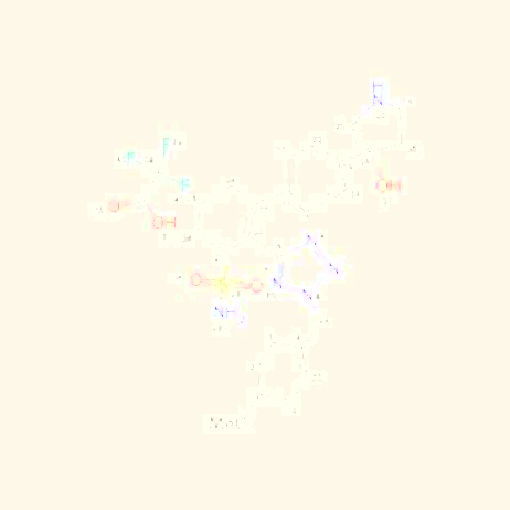 COc1ccc(Cn2nnc(-c3c(-c4ccc(C5(O)CCNC5)cc4)cccc3S(N)(=O)=O)n2)cc1.O=C(O)C(F)(F)F